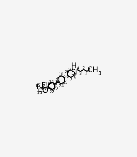 CCCCC[Si@H]1CC[C@H](C2CCC(c3ccc(OC(F)(F)F)cc3)CC2)CC1